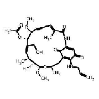 C=CCNC1=C2C[C@@H](C)C[C@H](OC)[C@H](O)[C@@H](C)/C=C(\CO)[C@H](OC(N)=O)[C@@H](OC)/C=C\C=C(/C)C(=O)NC(=CC1=O)C2=O